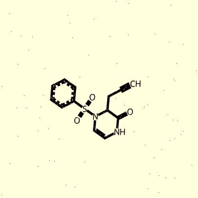 C#CCC1C(=O)NC=CN1S(=O)(=O)c1ccccc1